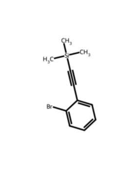 C[Si](C)(C)C#Cc1ccccc1Br